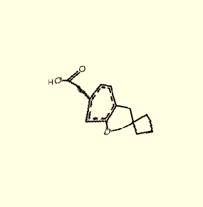 O=C(O)Cc1ccc2c(c1)OCC1(CCC1)C2